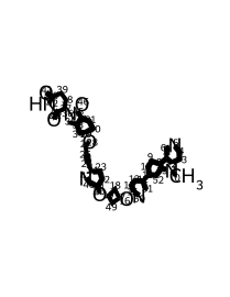 Cn1c2ccncc2c2ccc(-c3ccc(OC4CC(Oc5ccc(C#CCOc6ccc7c(c6)CN(C6CCC(=O)NC6=O)C7=O)nc5)C4)nc3)cc21